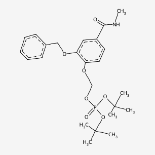 CNC(=O)c1ccc(OCOP(=O)(OC(C)(C)C)OC(C)(C)C)c(OCc2ccccc2)c1